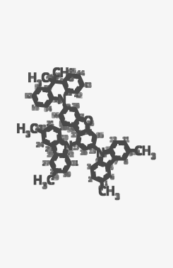 Cc1ccc2c(c1)c1cc(C)ccc1n2-c1cc(-n2c3ccc(C)cc3c3cc(C)ccc32)c2c(c1)oc1cc(N3c4ccccc4C(C)(C)c4ccccc43)ccc12